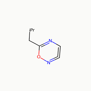 CC(C)CC1=NC=C=NO1